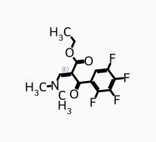 CCOC(=O)/C(=C/N(C)C)C(=O)c1cc(F)c(F)c(F)c1F